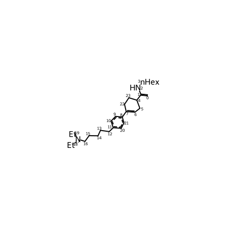 C=C(NCCCCCC)C1CC=C(c2ccc(CCCCCN(CC)CC)cc2)CC1